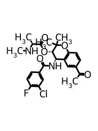 CN[C@@H](C)C(=O)O[C@H]1[C@@H](NC(=O)c2ccc(F)c(Cl)c2)c2cc(C(C)=O)ccc2OC1(C)C